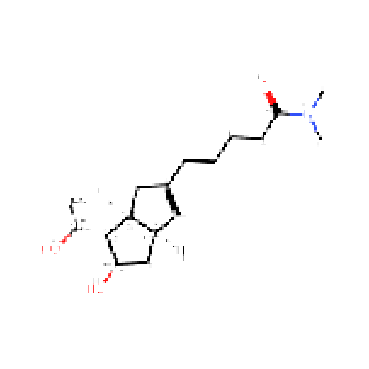 CCCC[C@H](O)[C@@H]1[C@H]2CC(CCCCC(=O)N(C)C)=C[C@H]2C[C@H]1O